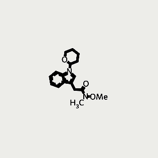 CON(C)C(=O)Cc1cn(C2CCCCO2)c2ccccc12